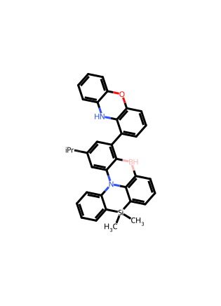 CC(C)c1cc(-c2cccc3c2Nc2ccccc2O3)c2c(c1)N1c3ccccc3[Si](C)(C)c3cccc(c31)B2